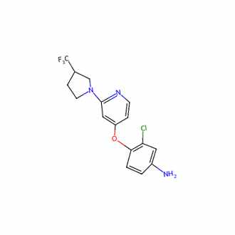 Nc1ccc(Oc2ccnc(N3CCC(C(F)(F)F)C3)c2)c(Cl)c1